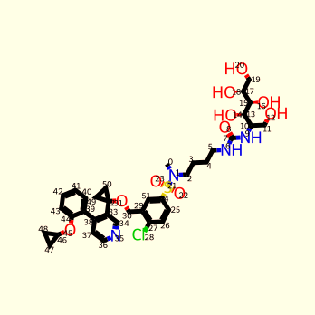 CN(CCCCNC(=O)NC(CO)[C@@H](O)[C@H](O)[C@H](O)CO)S(=O)(=O)c1ccc(Cl)c(COC2(c3cnccc3-c3ccccc3OC3CC3)CC2)c1